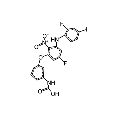 O=C(O)Nc1cccc(Oc2cc(F)cc(Nc3ccc(I)cc3F)c2[N+](=O)[O-])c1